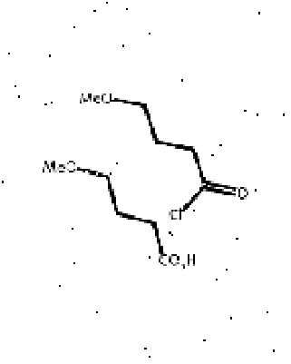 COCCCC(=O)Cl.COCCCC(=O)O